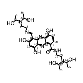 CC(O)N(CCN=Cc1c(O)cc(O)c2nc3c(C(=O)NCCN(C(C)O)C(C)O)ccc(O)c3nc12)C(C)O